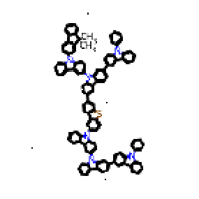 CC1(C)c2ccccc2-c2ccc(-n3c4ccccc4c4cc(-n5c6ccc(-c7ccc8c(c7)sc7ccc(-n9c%10ccccc%10c%10cc(-n%11c%12ccccc%12c%12ccc(-c%13ccc%14c(c%13)c%13ccccc%13n%14-c%13ccccc%13)cc%12%11)ccc%109)cc78)cc6c6ccc(-c7ccc8c(c7)c7ccccc7n8-c7ccccc7)cc65)ccc43)cc21